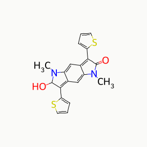 CN1C(=O)C(c2cccs2)=c2cc3c(cc21)=C(c1cccs1)C(O)N3C